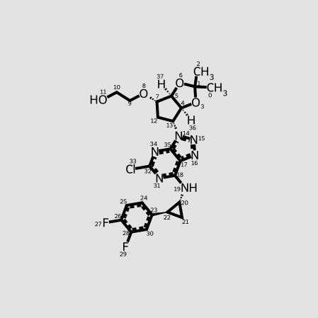 CC1(C)O[C@@H]2[C@H](O1)[C@@H](OCCO)C[C@H]2n1nnc2c(N[C@@H]3C[C@H]3c3ccc(F)c(F)c3)nc(Cl)nc21